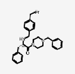 CC(C)Cc1ccc(CN[C@@H](Cc2ccccc2)C(=O)N2CCN(Cc3ccccc3)CC2)cc1